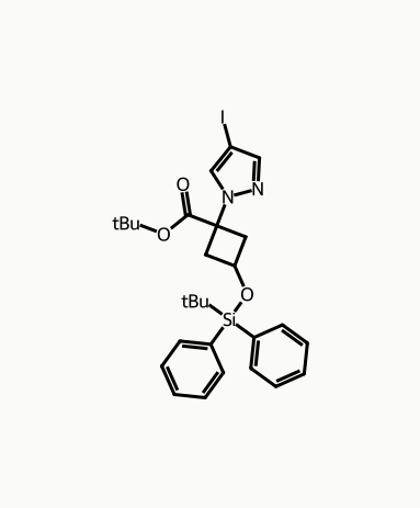 CC(C)(C)OC(=O)C1(n2cc(I)cn2)CC(O[Si](c2ccccc2)(c2ccccc2)C(C)(C)C)C1